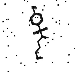 COCCCN(C)S(=O)(=O)c1ccc([N+](=O)[O-])cc1